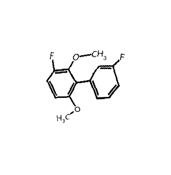 COc1ccc(F)c(OC)c1-c1cccc(F)c1